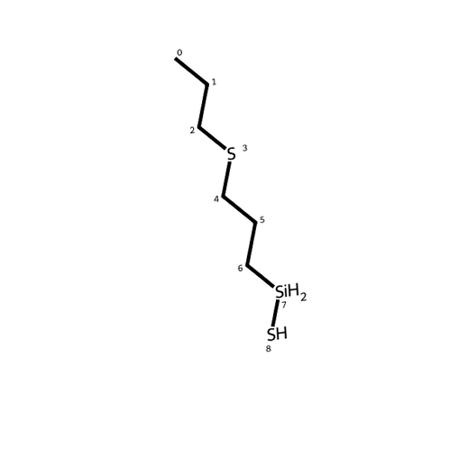 CCCSCCC[SiH2]S